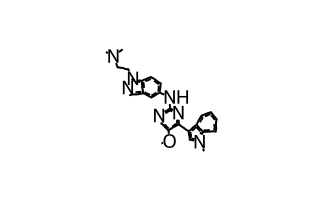 COc1cnc(Nc2ccc3c(cnn3CCN(C)C)c2)nc1-c1cn(C)c2ccccc12